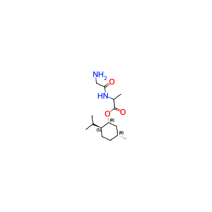 CC(NC(=O)CN)C(=O)O[C@@H]1C[C@H](C)CC[C@H]1C(C)C